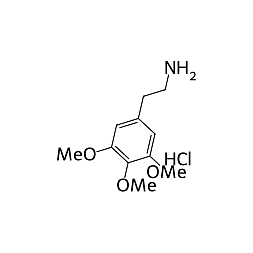 COc1cc(CCN)cc(OC)c1OC.Cl